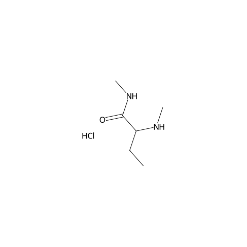 CCC(NC)C(=O)NC.Cl